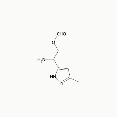 Cc1cc(C(N)COC=O)[nH]n1